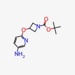 CC(C)(C)OC(=O)N1CC(Oc2ccc(N)cn2)C1